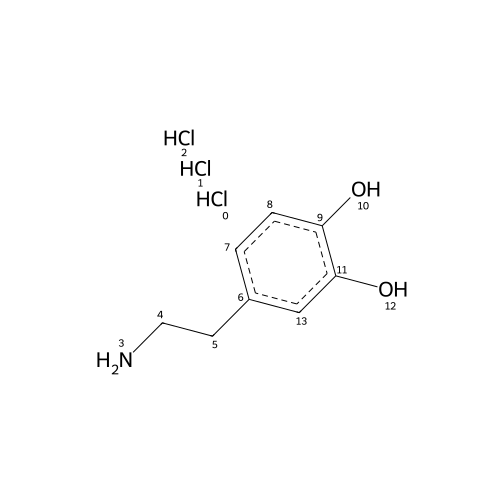 Cl.Cl.Cl.NCCc1ccc(O)c(O)c1